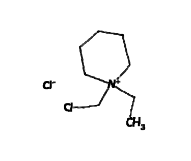 CC[N+]1(CCl)CCCCC1.[Cl-]